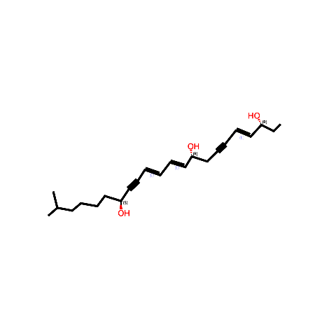 CC[C@@H](O)/C=C/C#CC[C@@H](O)/C=C/C=C/C#C[C@@H](O)CCCCC(C)C